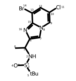 CC(N[S+]([O-])C(C)(C)C)c1cn2cc(Cl)cc(Br)c2n1